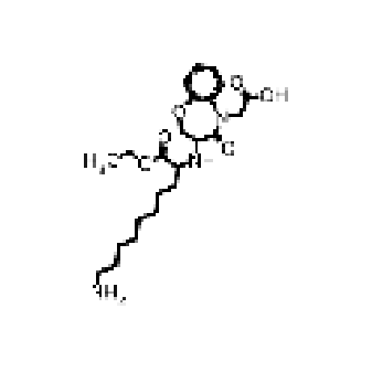 CCOC(=O)C(CCCCCCCCN)N[C@H]1COc2ccccc2N(CC(=O)O)C1=O